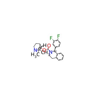 CC1(C)[C@@H](OC(=O)N2CCc3ccccc3[C@@H]2c2ccc(F)c(F)c2)C2CCN1CC2